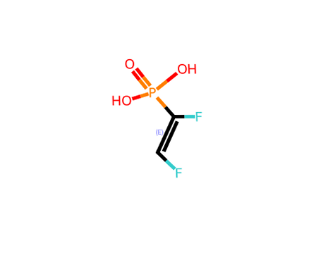 O=P(O)(O)/C(F)=C/F